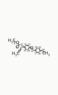 CC#CC(CC(=O)OCC)c1ccc(OCc2ccc(CC)cc2)cc1